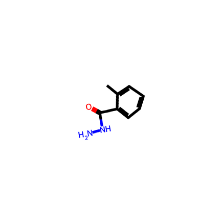 Cc1ccccc1C(=O)NN